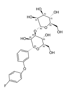 OC[C@H]1O[C@H](O[C@@H]2[C@H](O)[C@@H](c3cccc(Oc4ccc(F)cc4)c3)O[C@H](CO)[C@H]2O)[C@@H](O)[C@@H](O)[C@@H]1O